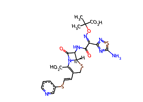 CC(C)(ON=C(C(=O)NC1C(=O)N2C(C(=O)O)=C(C=CSc3cccnc3)CS[C@@H]12)c1nsc(N)n1)C(=O)O